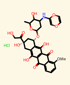 COc1cccc2c1C(=O)c1c(O)c3c(c(O)c1C2=O)C[C@@](O)(C(=O)CO)C[C@@H]3OC1CC(NC2=COC=CO2)C(O)C(C)O1.Cl